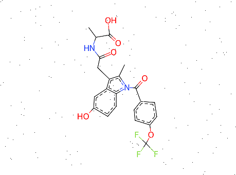 Cc1c(CC(=O)NC(C)C(=O)O)c2cc(O)ccc2n1C(=O)c1ccc(OC(F)(F)F)cc1